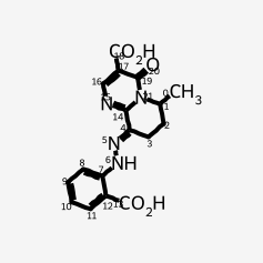 CC1CCC(=NNc2ccccc2C(=O)O)c2ncc(C(=O)O)c(=O)n21